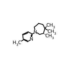 Cc1ccc(N2CCCC(C)(C)[C@H](C)C2)nc1